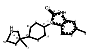 Cc1ccc2c(c1)[nH]c(=O)n2C1CCC(C2(C)CCNC2)CC1